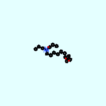 c1ccc(-c2cccc(-c3ccc(-c4nc(-c5ccc(-c6cccc(-c7ccccc7)c6)cc5)nc(-c5cccc(-c6cccc(-c7cccc(-c8cccc(-c9cccc(-c%10cccc(-c%11ccc%12c(c%11)C%11(c%13ccccc%13-c%13ccccc%13%11)c%11ccccc%11-%12)c%10)c9)c8)c7)c6)c5)n4)cc3)c2)cc1